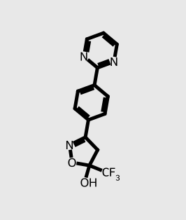 OC1(C(F)(F)F)CC(c2ccc(-c3ncccn3)cc2)=NO1